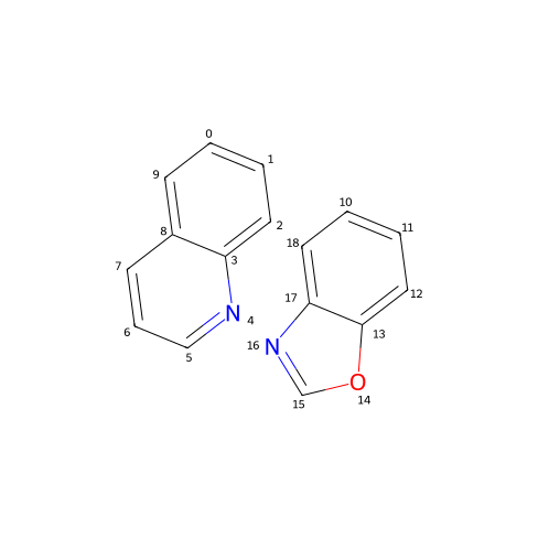 c1ccc2ncccc2c1.c1ccc2ocnc2c1